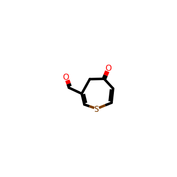 O=CC1=CSC=CC(=O)C1